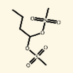 CCCC(OS(C)(=O)=O)OS(C)(=O)=O